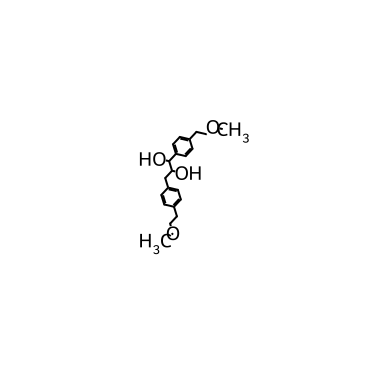 COCCc1ccc(CC(O)C(O)c2ccc(CCOC)cc2)cc1